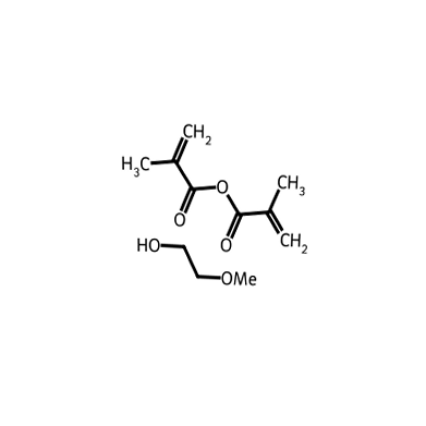 C=C(C)C(=O)OC(=O)C(=C)C.COCCO